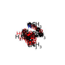 C/C=C(\C)C(=O)O[C@H]1C[C@@H](OC(C)=O)[C@@]2(C(=O)OC)CO[C@H]3[C@@H](O)[C@@](C)([C@]45O[C@@]4(C)[C@H]4C[C@@H]5O[C@@H]5OC=C[C@@]54O)[C@H]4[C@]1(CO[C@]4(O)C(=O)OC)[C@@H]32.CC(COc1ccc(Oc2ccccc2)cc1)Oc1ccccn1